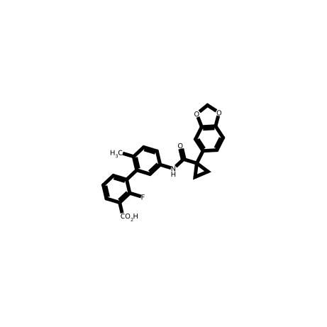 Cc1ccc(NC(=O)C2(c3ccc4c(c3)OCO4)CC2)cc1-c1cccc(C(=O)O)c1F